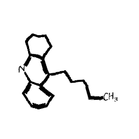 CCCCCc1c2c(nc3ccccc13)CCCC2